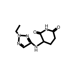 CCn1ncc(NC2CCC(=O)NC2=O)n1